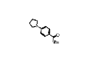 CCCCC(=O)c1ccc(N2CCCC2)cc1